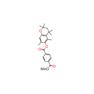 COC(=O)c1ccc(C(=O)Oc2c(C)cc3c(c2C)C(C)(C)CC(C)(C)O3)cc1